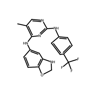 Cc1cnc(Nc2ccc(C(F)(F)F)cc2)nc1Nc1ccc2c(c1)NCO2